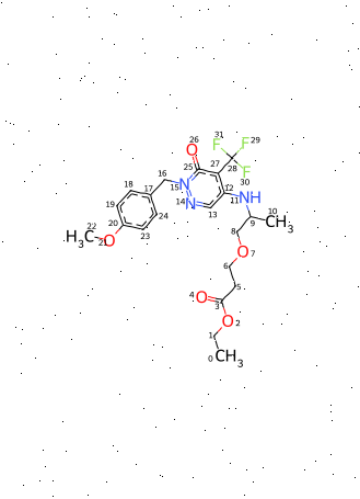 CCOC(=O)CCOCC(C)Nc1cnn(Cc2ccc(OC)cc2)c(=O)c1C(F)(F)F